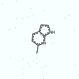 Fc1[c]cc2cc[nH]c2n1